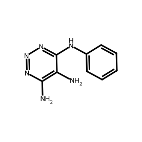 Nc1nnnc(Nc2ccccc2)c1N